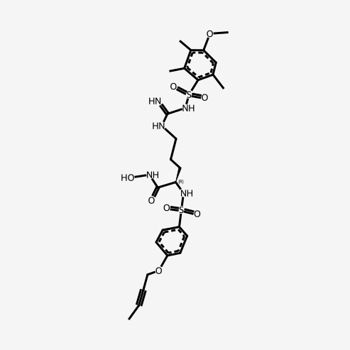 CC#CCOc1ccc(S(=O)(=O)N[C@H](CCCNC(=N)NS(=O)(=O)c2c(C)cc(OC)c(C)c2C)C(=O)NO)cc1